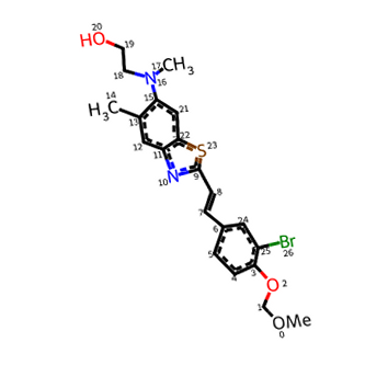 COCOc1ccc(C=Cc2nc3cc(C)c(N(C)CCO)cc3s2)cc1Br